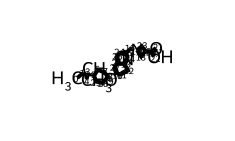 CCC(C)(C)[C@H]1CC[C@H](Oc2ccc3nc(CN4CC(C(=O)O)C4)ccc3c2)CC1